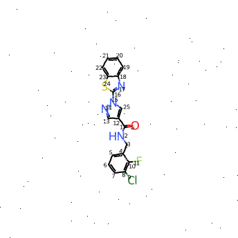 O=C(NCc1cccc(Cl)c1F)c1cnn(-c2nc3ccccc3s2)c1